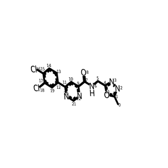 Cc1nnc(CNC(=O)c2cc(-c3ccc(Cl)c(Cl)c3)ncn2)o1